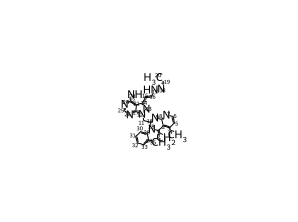 C=C1c2c(C)ccnc2N=C(Cn2nc(C=CN/N=C\C)c3c(N)ncnc32)N1c1ccccc1C